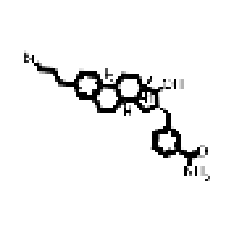 C[C@]12CC[C@@H]3c4ccc(CCCBr)cc4CC[C@H]3[C@@H]1C[C@H](Cc1cccc(C(N)=O)c1)[C@@H]2O